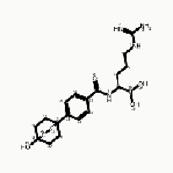 N=C(N)NCCC[C@H](NC(=O)c1ccc(C23CCC(O)(CC2)CC3)cc1)B(O)O